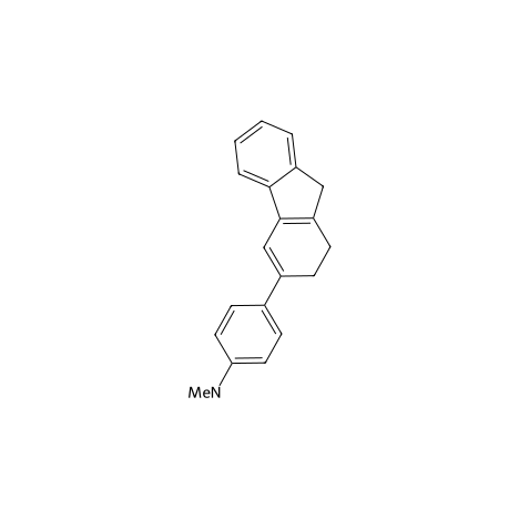 CNc1ccc(C2=CC3=C(CC2)Cc2ccccc23)cc1